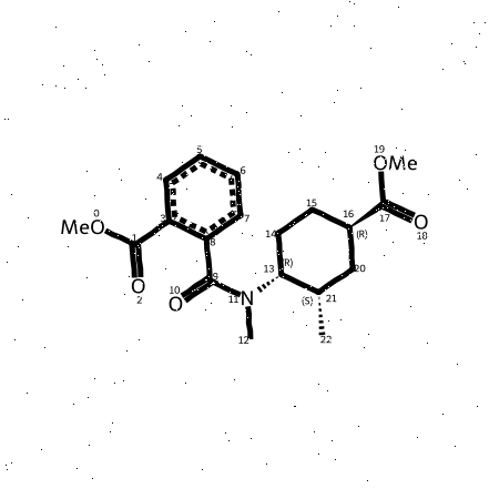 COC(=O)c1ccccc1C(=O)N(C)[C@@H]1CC[C@@H](C(=O)OC)C[C@@H]1C